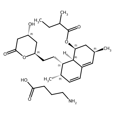 CCC(C)C(=O)O[C@H]1C[C@@H](C)C=C2C=C[C@H](C)[C@H](CC[C@@H]3C[C@@H](O)CC(=O)O3)[C@H]21.NCCCC(=O)O